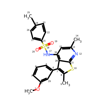 COc1cccc(-c2c(C)sc3nc(C)cc(NS(=O)(=O)c4ccc(C)cc4)c23)c1